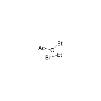 CCBr.CCOC(C)=O